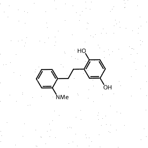 CNc1ccccc1CCc1cc(O)ccc1O